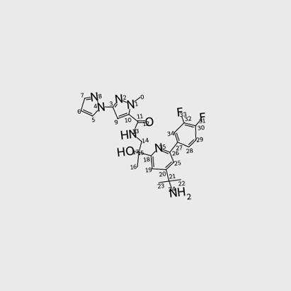 Cn1nc(-n2cccn2)cc1C(=O)NCC(C)(O)c1cc(C(C)(C)N)cc(-c2ccc(F)c(F)c2)n1